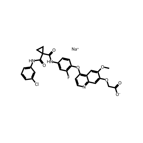 COc1cc2c(Oc3ccc(NC(=O)C4(C(=O)Nc5cccc(Cl)c5)CC4)cc3F)ccnc2cc1OCC(=O)[O-].[Na+]